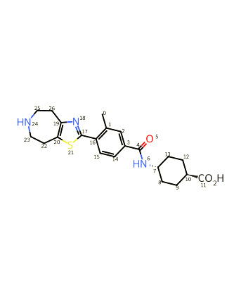 Cc1cc(C(=O)N[C@H]2CC[C@H](C(=O)O)CC2)ccc1-c1nc2c(s1)CCNCC2